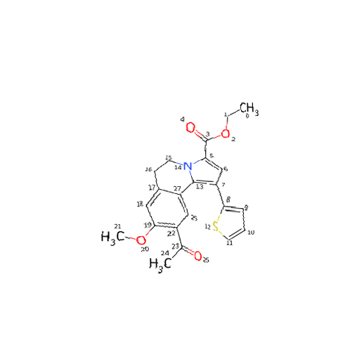 CCOC(=O)c1cc(-c2cccs2)c2n1CCc1cc(OC)c(C(C)=O)cc1-2